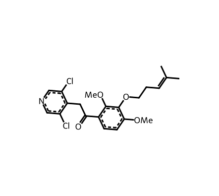 COc1ccc(C(=O)Cc2c(Cl)cncc2Cl)c(OC)c1OCCC=C(C)C